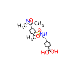 Cc1ccc(-c2c(C)noc2C)cc1S(=O)(=O)NCCc1ccc(B(O)O)cc1